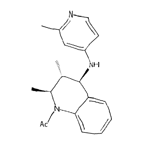 CC(=O)N1c2ccccc2[C@H](Nc2ccnc(C)c2)[C@@H](C)[C@@H]1C